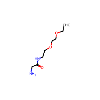 NCC(=O)NCCOCCOCC=O